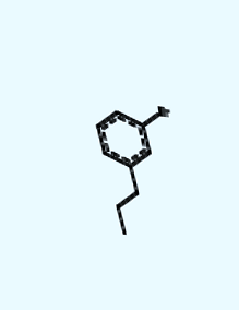 CCCc1cccc(Br)c1